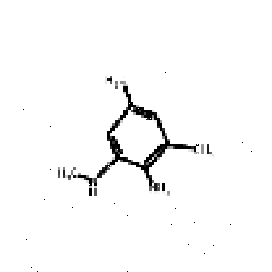 CNc1cc(C)cc(C)c1N